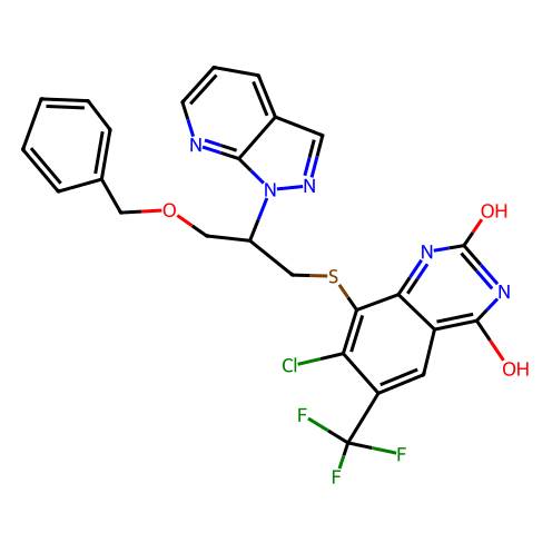 Oc1nc(O)c2cc(C(F)(F)F)c(Cl)c(SCC(COCc3ccccc3)n3ncc4cccnc43)c2n1